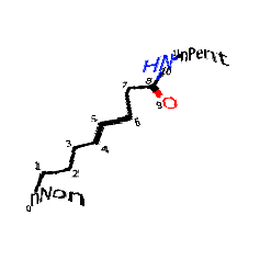 CCCCCCCCCCCCCCCCC(=O)NCCCCC